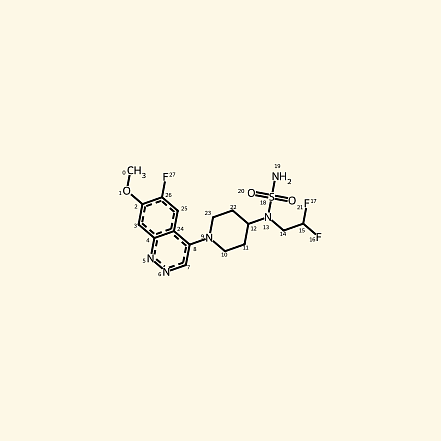 COc1cc2nncc(N3CCC(N(CC(F)F)S(N)(=O)=O)CC3)c2cc1F